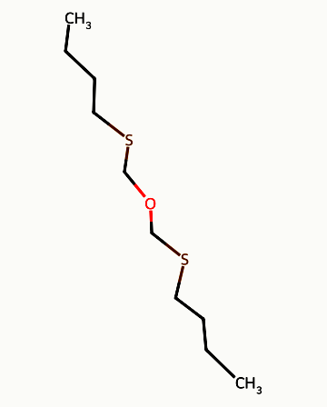 CCCCSCOCSCCCC